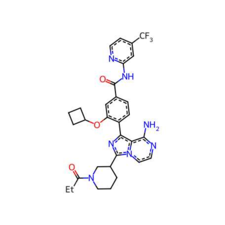 CCC(=O)N1CCCC(c2nc(-c3ccc(C(=O)Nc4cc(C(F)(F)F)ccn4)cc3OC3CCC3)c3c(N)nccn23)C1